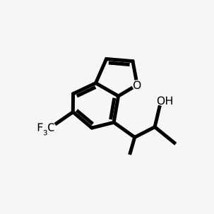 CC(O)C(C)c1cc(C(F)(F)F)cc2ccoc12